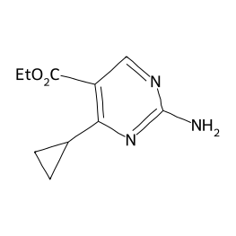 CCOC(=O)c1cnc(N)nc1C1CC1